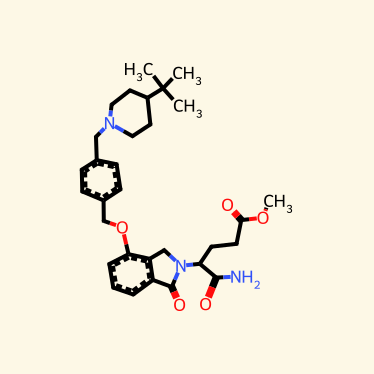 COC(=O)CCC(C(N)=O)N1Cc2c(OCc3ccc(CN4CCC(C(C)(C)C)CC4)cc3)cccc2C1=O